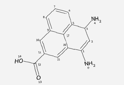 NC1=CC(N)c2cccc3cc(C(=O)O)cc1c23